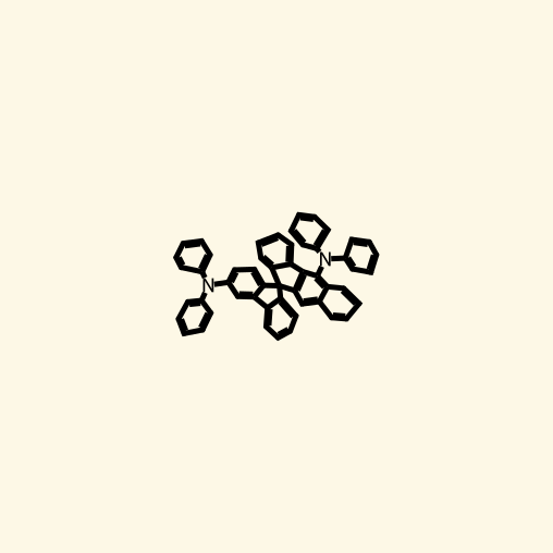 c1ccc(N(c2ccccc2)c2ccc3c(c2)-c2ccccc2C32c3ccccc3-c3c2cc2ccccc2c3N(c2ccccc2)c2ccccc2)cc1